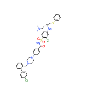 CN(C)CC[C@H](CSc1ccccc1)Nc1ccc(S(=O)(=O)NC(=O)c2ccc(N3CCN(Cc4ccccc4-c4ccc(Cl)cc4)CC3)cc2)c(Cl)c1